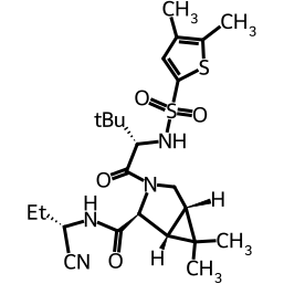 CC[C@@H](C#N)NC(=O)[C@@H]1[C@@H]2[C@H](CN1C(=O)[C@@H](NS(=O)(=O)c1cc(C)c(C)s1)C(C)(C)C)C2(C)C